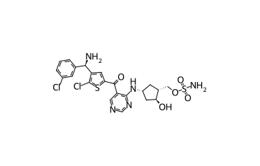 N[C@H](c1cccc(Cl)c1)c1cc(C(=O)c2cncnc2N[C@@H]2C[C@H](COS(N)(=O)=O)[C@@H](O)C2)sc1Cl